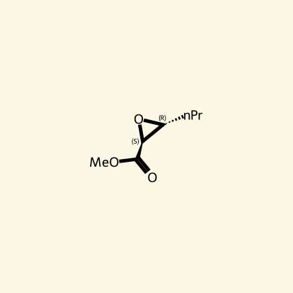 CCC[C@H]1O[C@@H]1C(=O)OC